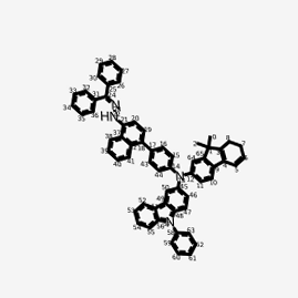 CC1(C)C2=C(C=CCC2)c2ccc(N(c3ccc(-c4ccc(NN=C(c5ccccc5)c5ccccc5)c5ccccc45)cc3)c3ccc4c(c3)c3ccccc3n4-c3ccccc3)cc21